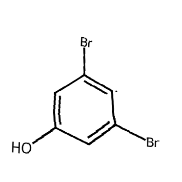 Oc1cc(Br)[c]c(Br)c1